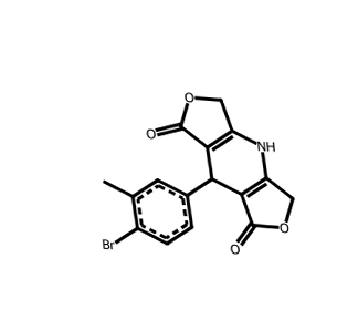 Cc1cc(C2C3=C(COC3=O)NC3=C2C(=O)OC3)ccc1Br